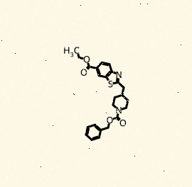 CCOC(=O)c1ccc2nc(CC3CCN(C(=O)OCc4ccccc4)CC3)sc2c1